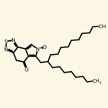 CCCCCCCCCCC(CCCCCCCC)CC1=C2C(=O)Cc3nsnc3C2=C[N+]1=O